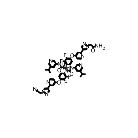 CC(C)c1cncc(NC(=O)N(c2ccc(Oc3ccnc(-c4cnn(CC#N)c4)c3)c(F)c2F)N(C(=O)Nc2cncc(C(C)C)c2)c2ccc(Oc3ccnc(-c4cnn(CC(N)=O)c4)c3)c(F)c2F)c1